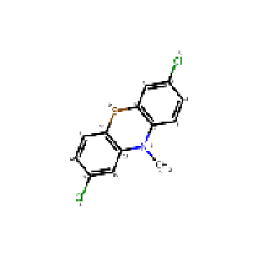 CN1c2ccc(Cl)cc2Sc2ccc(Cl)cc21